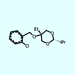 CC[C@]1(OCc2ccccc2Cl)CO[C@@H](C(C)C)OC1